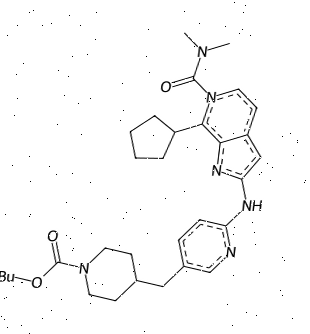 CN(C)C(=O)n1ccc2cc(Nc3ccc(CC4CCN(C(=O)OC(C)(C)C)CC4)cn3)nc-2c1C1CCCC1